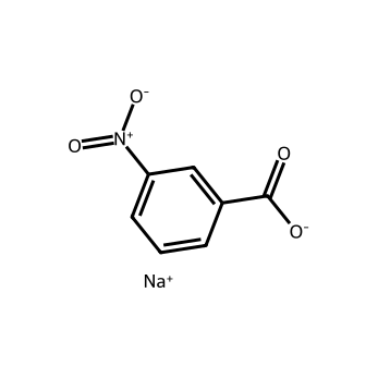 O=C([O-])c1cccc([N+](=O)[O-])c1.[Na+]